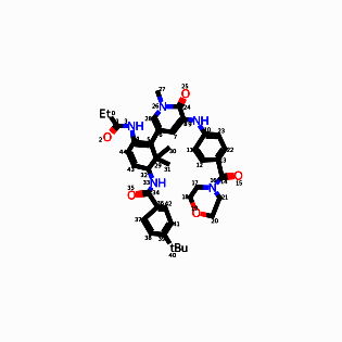 CCC(=O)NC1=C(c2cc(Nc3ccc(C(=O)N4CCOCC4)cc3)c(=O)n(C)c2)C(C)(C)C(NC(=O)c2ccc(C(C)(C)C)cc2)C=C1